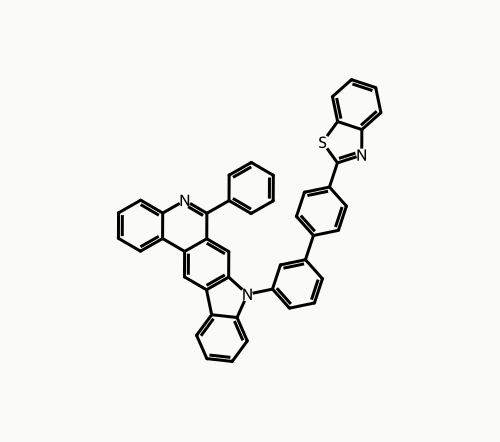 c1ccc(-c2nc3ccccc3c3cc4c5ccccc5n(-c5cccc(-c6ccc(-c7nc8ccccc8s7)cc6)c5)c4cc23)cc1